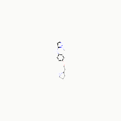 Cn1nccc1Nc1ccc(OCCC2CCCN2)cc1